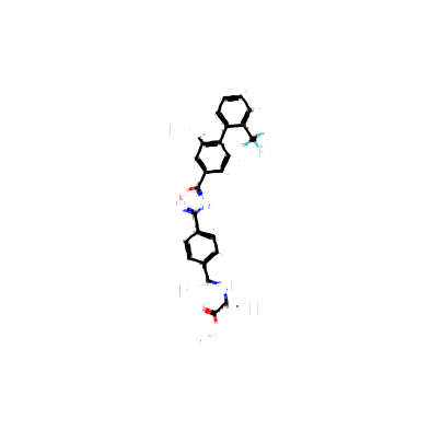 COC(=O)[C@@H](C)N[C@H](C)c1ccc(-c2noc(-c3ccc(-c4ccccc4C(F)(F)F)c(C)c3)n2)cc1